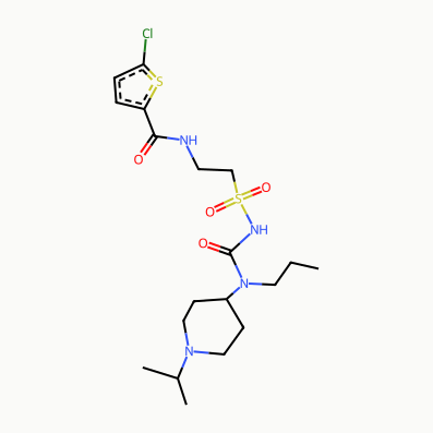 CCCN(C(=O)NS(=O)(=O)CCNC(=O)c1ccc(Cl)s1)C1CCN(C(C)C)CC1